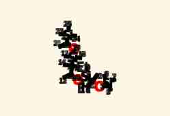 CCC(C)(O[Si](C)(C)C)[SiH](C)OC(C)C(C)(CC)[Si](C)(C)OC(C)[Si](C)(C)C